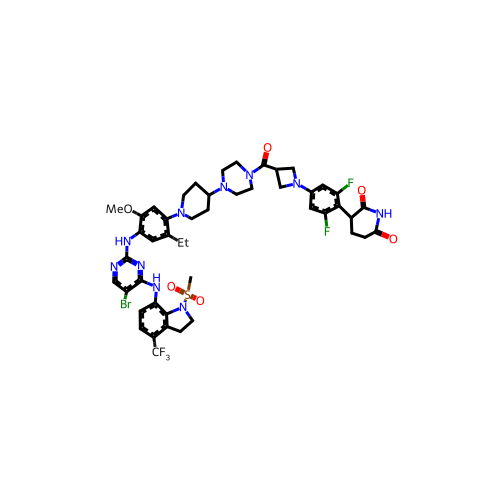 CCc1cc(Nc2ncc(Br)c(Nc3ccc(C(F)(F)F)c4c3N(S(C)(=O)=O)CC4)n2)c(OC)cc1N1CCC(N2CCN(C(=O)C3CN(c4cc(F)c(C5CCC(=O)NC5=O)c(F)c4)C3)CC2)CC1